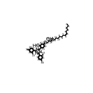 CCCCC/C=C\CCCCCCOCC(O)COc1ccc(-c2nc(-c3ccc(C)cc3C)nc(-c3ccc(C)cc3C)n2)c(O)c1